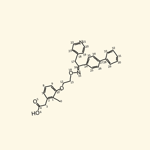 Cc1c(CC(=O)O)cccc1OCCO/N=C(\Cc1ccncc1)c1ccc(-c2ccccc2)cc1